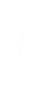 CSc1nncn1CC(=O)O